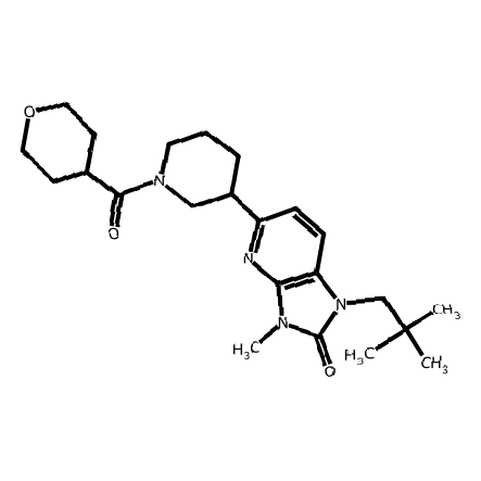 Cn1c(=O)n(CC(C)(C)C)c2ccc(C3CCCN(C(=O)C4CCOCC4)C3)nc21